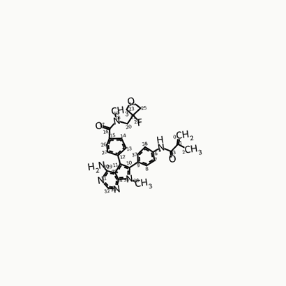 C=C(C)C(=O)Nc1ccc(-c2c(-c3ccc(C(=O)N(C)CC4(F)COC4)cc3)c3c(N)ncnc3n2C)cc1